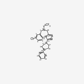 FC(F)(F)CN1Cc2cc(Cl)ccc2-n2c(nnc2C2CCN(c3ncccn3)CC2)C1